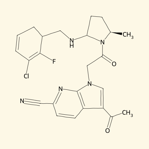 CC(=O)c1cn(CC(=O)N2C(NCC3CC=CC(Cl)=C3F)CC[C@H]2C)c2nc(C#N)ccc12